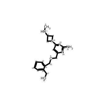 CNC1CN(c2cc(COCc3ccccc3CO)nc(N)n2)C1